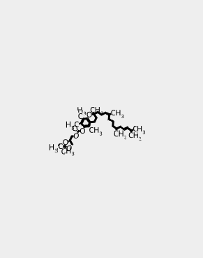 Cc1c(C)c2c(c(C)c1OC(=O)OCC1COC(C)(C)O1)CCC(C)(CCCC(C)CCCC(C)CCCC(C)C)O2